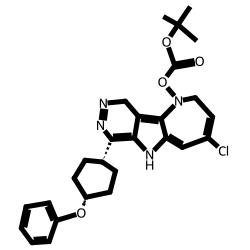 CC(C)(C)OC(=O)ON1CC=C(Cl)C=c2[nH]c3c(c21)CN=NC=3[C@H]1CC[C@@H](Oc2ccccc2)CC1